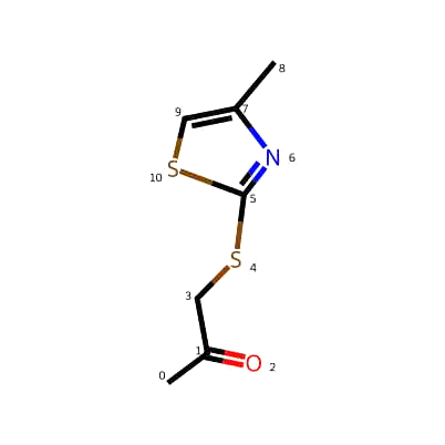 CC(=O)CSc1nc(C)cs1